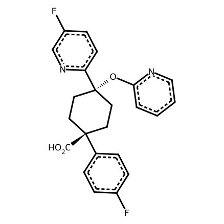 O=C(O)[C@]1(c2ccc(F)cc2)CC[C@](Oc2ccccn2)(c2ccc(F)cn2)CC1